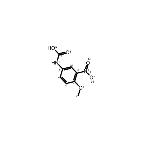 COc1ccc(NC(=O)O)cc1[N+](=O)[O-]